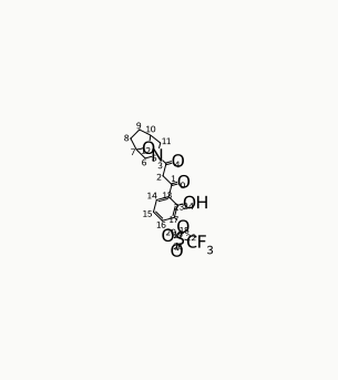 O=C(CC(=O)N1CC2CCC(C1)O2)c1cccc(OS(=O)(=O)C(F)(F)F)c1O